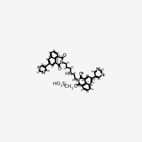 CS(=O)(=O)O.O=C1c2cccc3cc(-c4cncnc4)cc(c23)C(=O)N1CCCNCCN1C(=O)c2cccc3cc(-c4cncnc4)cc(c23)C1=O